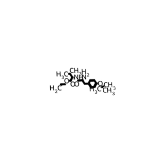 C=CCOC(=O)[C@@H](NC(=O)[C@@H](N)Cc1ccc(OC(C)(C)C)cc1)C(C)C